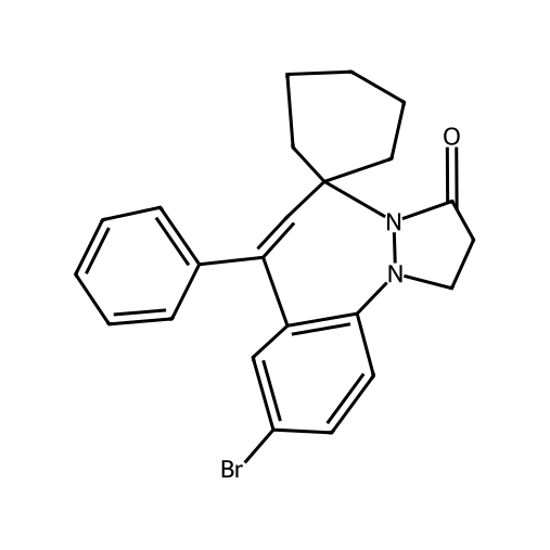 O=C1CCN2c3ccc(Br)cc3C(c3ccccc3)=CC3(CCCCC3)N12